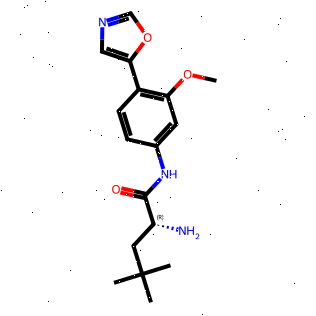 COc1cc(NC(=O)[C@H](N)CC(C)(C)C)ccc1-c1cnco1